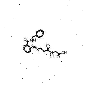 O=C(O)CNC(=O)CCS[Se]c1ccccc1C(=O)NCc1ccccc1